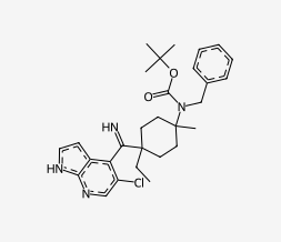 CCC1(C(=N)c2c(Cl)cnc3[nH]ccc23)CCC(C)(N(Cc2ccccc2)C(=O)OC(C)(C)C)CC1